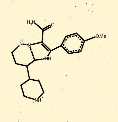 COc1ccc(C2=C(C(N)=O)N3NCCC(C4CCNCC4)C3N2)cc1